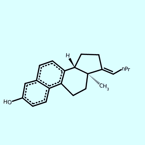 CCCC=C1CC[C@H]2c3ccc4cc(O)ccc4c3CC[C@]12C